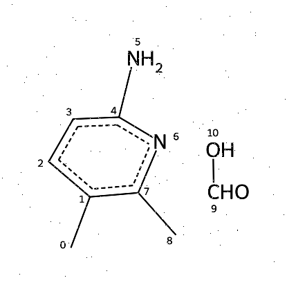 Cc1ccc(N)nc1C.O=CO